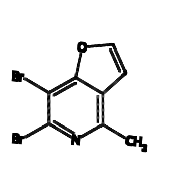 Cc1nc(Br)c(Br)c2occc12